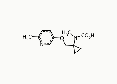 Cc1ccc(OCC2(N(C)C(=O)O)CC2)cn1